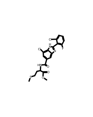 COC(=O)C(CCSC)NC(=O)c1cc(Cl)c2[nH]c(-c3c(F)cccc3Cl)nc2c1